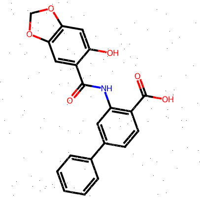 O=C(Nc1cc(-c2ccccc2)ccc1C(=O)O)c1cc2c(cc1O)OCO2